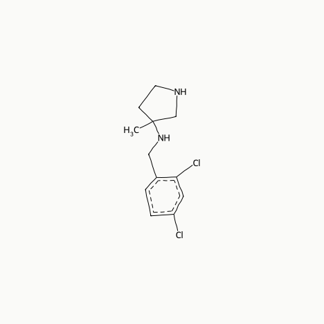 CC1(NCc2ccc(Cl)cc2Cl)CCNC1